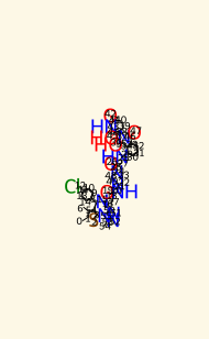 Cc1sc2c(c1C)C(c1ccc(Cl)cc1)=N[C@@H](CC(=O)NN1CCN(C(=O)CNc3cccc4c3C(O)N(C3CCC(=O)NC3O)C4=O)CC1)c1nnc(C)n1-2